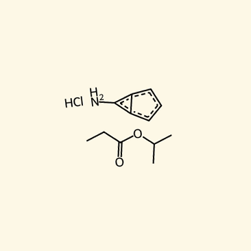 CCC(=O)OC(C)C.Cl.Nc1c2cccc1-2